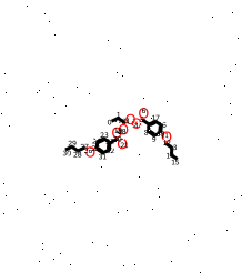 [CH2]C[C](OOC(=O)c1ccc(OCCCC)cc1)OOC(=O)c1ccc(OCCCC)cc1